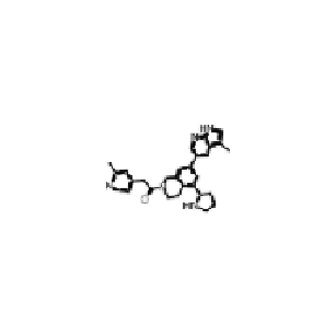 Cc1cc(CC(=O)N2CCc3c(cc(-c4cnc5[nH]cc(C)c5c4)cc3C3CCCN3)C2)ccn1